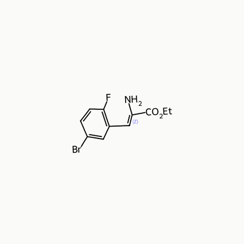 CCOC(=O)/C(N)=C/c1cc(Br)ccc1F